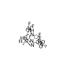 NC1(c2ccnc(-c3cnn(S(=O)(=O)C4CC4)c3)n2)C=C(NC2CCC(F)(F)C2)C(c2ccn(C(F)F)n2)=CN1